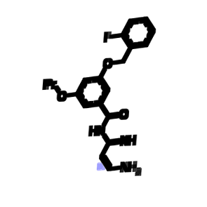 CC(C)Oc1cc(OCc2ccccc2F)cc(C(=O)NC(=N)/C=C\N)c1